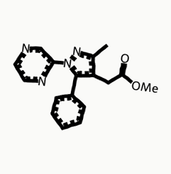 COC(=O)Cc1c(C)nn(-c2cnccn2)c1-c1ccccc1